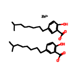 CC(C)CCCCCCc1ccc(O)c(C(=O)[O-])c1.CC(C)CCCCCCc1ccc(O)c(C(=O)[O-])c1.[Zn+2]